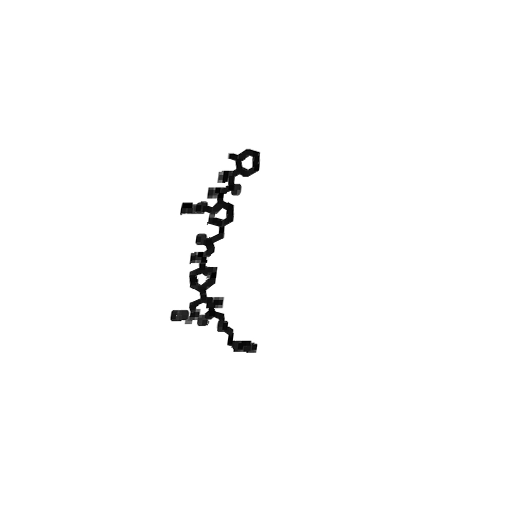 COCCOCC(=O)NC(CC(=O)O)c1ccc(NCC(=O)Cc2ccc(NC(=O)Nc3ccccc3C)c(OC)c2)nc1